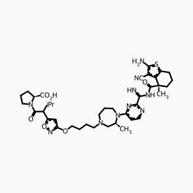 CC(C)C(C(=O)N1CCC[C@H]1C(=O)O)c1cc(OCCCCN2CCCN(c3ccnc(C(=N)NC(=O)[C@@]4(C)CCCc5sc(N)c(C#N)c54)n3)[C@@H](C)C2)no1